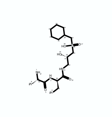 CC(C)C[C@@H](NC(=O)[C@@H](N)C(C)C)C(=O)NC[C@H](O)CP(=O)(O)CC1CCCCC1